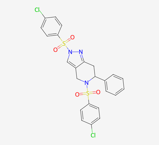 O=S(=O)(c1ccc(Cl)cc1)N1Cc2cn(S(=O)(=O)c3ccc(Cl)cc3)nc2CC1c1ccccc1